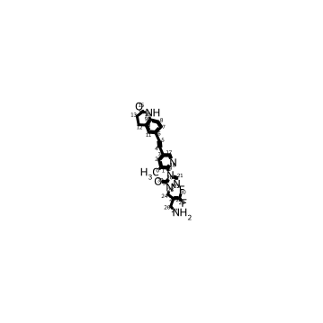 Cc1cc(C#Cc2ccc3c(c2)CCC(=O)N3)cnc1-n1cnn(CC(CN)=C(F)F)c1=O